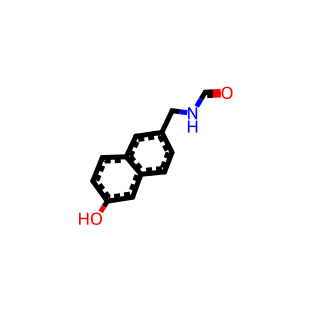 O=CNCc1ccc2cc(O)ccc2c1